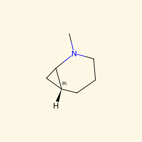 CN1CCC[C@@H]2CC21